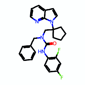 O=C(Nc1ccc(F)cc1F)N(Cc1ccccc1)CC1(n2ccc3cccnc32)CCCC1